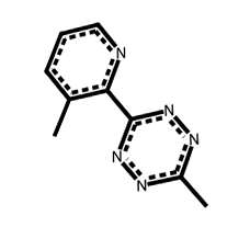 Cc1nnc(-c2ncccc2C)nn1